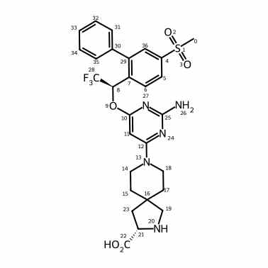 CS(=O)(=O)c1ccc([C@@H](Oc2cc(N3CCC4(CC3)CN[C@H](C(=O)O)C4)nc(N)n2)C(F)(F)F)c(-c2ccccc2)c1